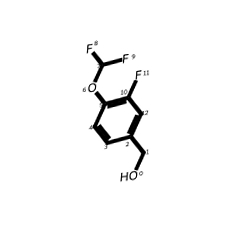 OCc1ccc(OC(F)F)c(F)c1